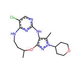 Cc1c2c(nn1C1CCOCC1)OC(C)CCNc1nc(ncc1Cl)N2